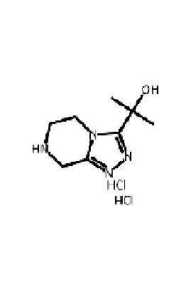 CC(C)(O)c1nnc2n1CCNC2.Cl.Cl